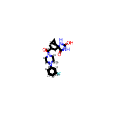 CC(CC1(C2CC2)NC(O)NC1=O)C(=O)N1CCN(c2cccc(F)c2)[C@@H](C)C1